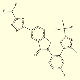 Cn1nc(C(F)(F)F)cc1-c1cc(F)ccc1N1Cc2ccc(-c3nnc(C(F)F)o3)cc2C1=O